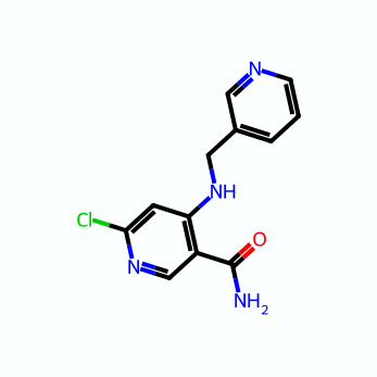 NC(=O)c1cnc(Cl)cc1NCc1cccnc1